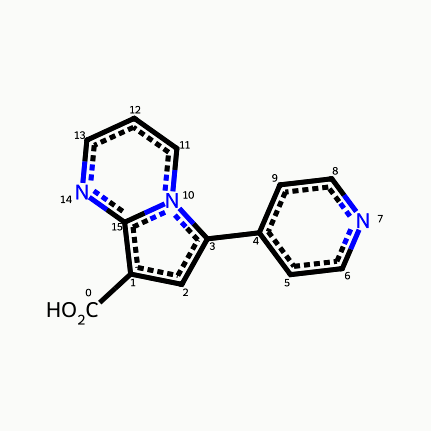 O=C(O)c1cc(-c2ccncc2)n2cccnc12